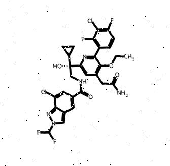 CCOc1c(CC(N)=O)cc([C@@](O)(CNC(=O)c2cc(Cl)c3nn(C(F)F)cc3c2)C2CC2)nc1-c1ccc(F)c(Cl)c1F